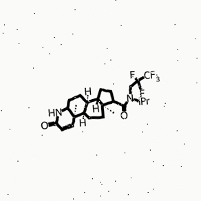 CC(C)N(CC(F)(F)C(F)(F)F)C(=O)C1CC[C@H]2[C@@H]3CCC4NC(=O)C=C[C@]4(C)[C@@H]3CC[C@]12C